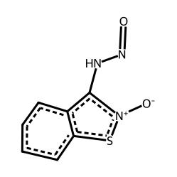 O=NNc1c2ccccc2s[n+]1[O-]